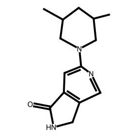 CC1CC(C)CN(c2cc3c(cn2)CNC3=O)C1